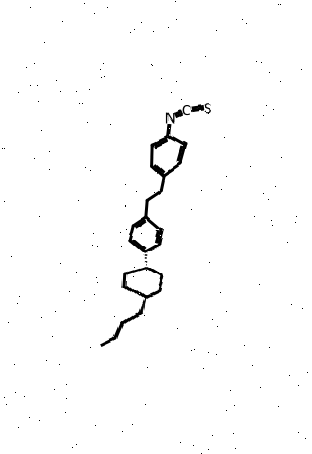 CCCC[C@H]1CC[C@H](c2ccc(CCc3ccc(N=C=S)cc3)cc2)CC1